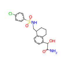 NC(=O)C(O)c1cccc2c1CCCC2CNS(=O)(=O)c1ccc(Cl)cc1